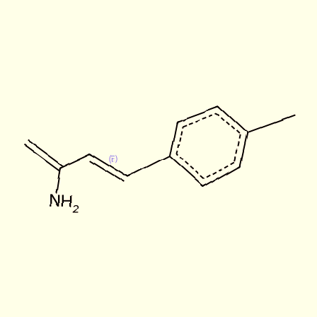 C=C(N)/C=C/c1ccc(C)cc1